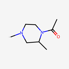 [CH2]N1CCN(C(C)=O)C(C)C1